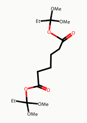 CCC(OC)(OC)OC(=O)CCCCC(=O)OC(CC)(OC)OC